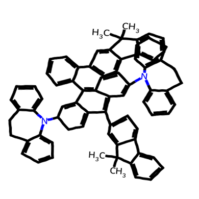 CC1(C)c2ccccc2-c2ccc(-c3ccccc3-c3c4c(c(-c5ccc6c(c5)C(C)(C)c5ccccc5-6)c5cc(N6C7=C(CCC=C7)CCc7ccccc76)ccc35)=CCC(N3c5ccccc5CCc5ccccc53)C=4)cc21